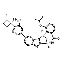 C[C@H]1CC[C@]1(N)c1ncc(-c2ccc3nc4n(c3c2)[C@@H]2C[C@H]4NC(=O)c3cccc(OC(F)F)c32)cc1F